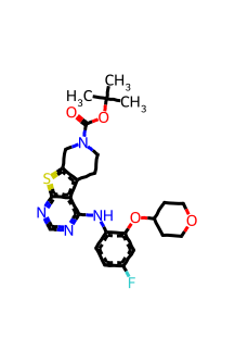 CC(C)(C)OC(=O)N1CCc2c(sc3ncnc(Nc4ccc(F)cc4OC4CCOCC4)c23)C1